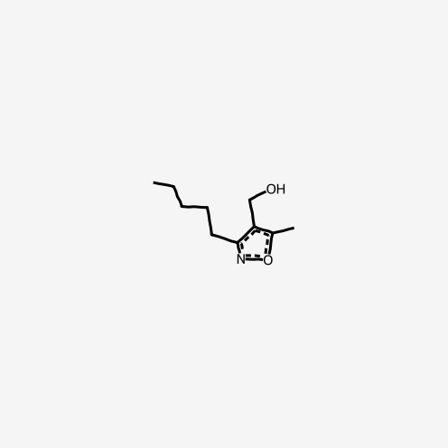 CCCCCc1noc(C)c1CO